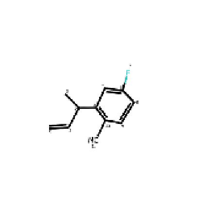 C=C[C](C)c1cc(F)ccc1C#N